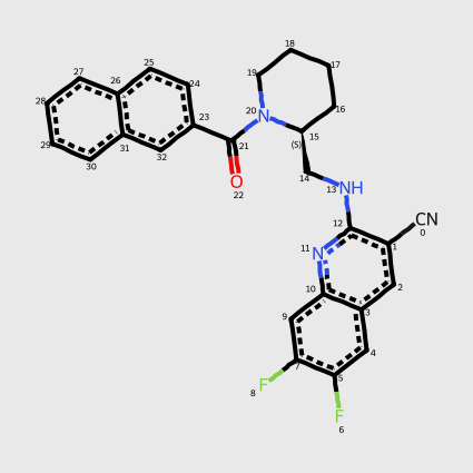 N#Cc1cc2cc(F)c(F)cc2nc1NC[C@@H]1CCCCN1C(=O)c1ccc2ccccc2c1